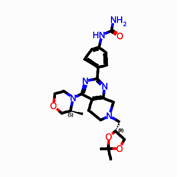 C[C@H]1COCCN1c1nc(-c2ccc(NC(N)=O)cc2)nc2c1CCN(C[C@@H]1COC(C)(C)O1)C2